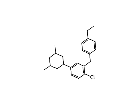 CCc1ccc(Cc2cc(C3CC(C)CC(C)C3)ccc2Cl)cc1